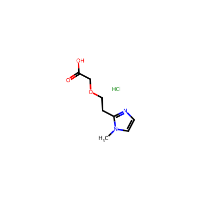 Cl.Cn1ccnc1CCOCC(=O)O